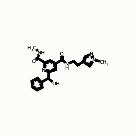 CNC(=O)c1cc(C(=O)NCCc2cnn(C)c2)cc(C(O)c2ccccc2)n1